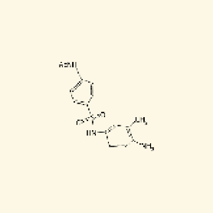 CC(=O)Nc1ccc(S(=O)(=O)Nc2ccc(N)c(C)c2)cc1